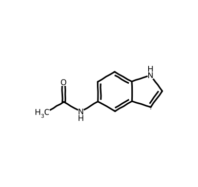 CC(=O)Nc1ccc2[nH]c[c]c2c1